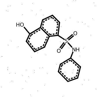 O=S(=O)(Nc1ccccc1)c1cccc2c(O)cccc12